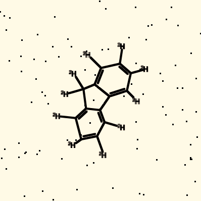 [2H]c1c([2H])c([2H])c2c(c1[2H])-c1c([2H])c([2H])c([2H])c([2H])c1C2([2H])[2H]